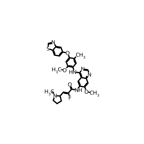 COc1cc2ncnc(Nc3cc(C)c(Oc4ccc5scnc5c4)cc3OC)c2cc1NC(=O)/C(F)=C/C1CCCN1C